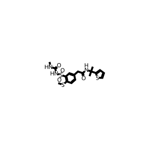 CNC(=O)NS(=O)(=O)c1cc(CC(=O)NC(C)(C)c2cccs2)ccc1SC